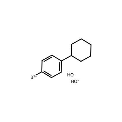 [B+2]c1ccc(C2CCCCC2)cc1.[OH-].[OH-]